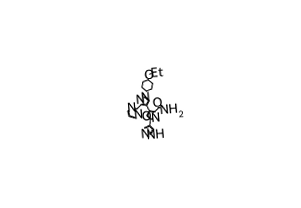 CCO[C@H]1CC[C@H](n2cc(-c3oc(-c4cn[nH]c4)nc3C(N)=O)c(-c3ncccn3)n2)CC1